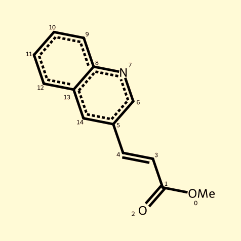 COC(=O)/C=C/c1cnc2ccccc2c1